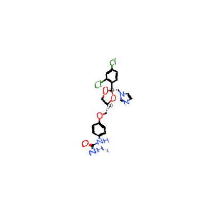 NC(=O)Nc1ccc(OC[C@@H]2CO[C@@](Cn3ccnc3)(c3ccc(Cl)cc3Cl)O2)cc1